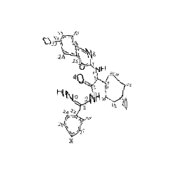 N=C(NC(=O)C(Nc1nc2ccc(Cl)cc2o1)C1CCCCC1)c1ccccc1